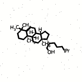 CC(C)CCCC(CO)[C@H]1CC[C@H]2[C@@H]3CC=C4C(C)(C)CCC[C@]4(C)[C@H]3CC[C@]12C